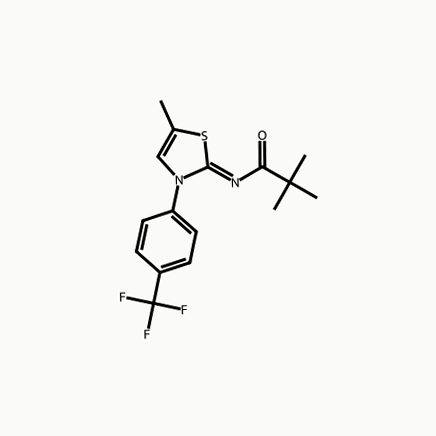 Cc1cn(-c2ccc(C(F)(F)F)cc2)c(=NC(=O)C(C)(C)C)s1